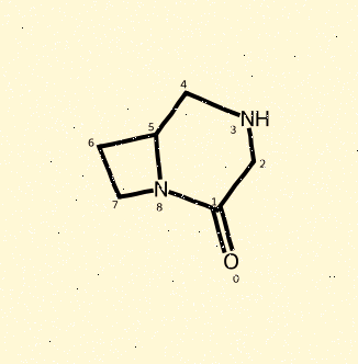 O=C1CNCC2CCN12